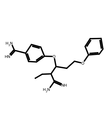 CCC(C(=N)N)C(CCOc1ccccc1)Oc1ccc(C(=N)N)cc1